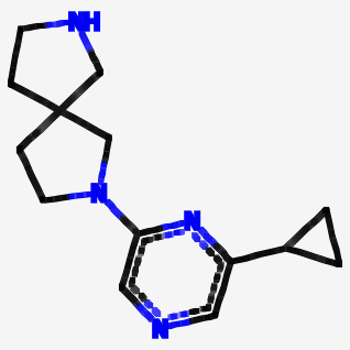 c1ncc(N2CCC3(CCNC3)C2)nc1C1CC1